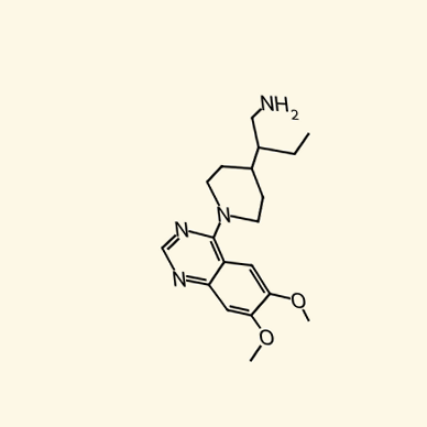 CCC(CN)C1CCN(c2ncnc3cc(OC)c(OC)cc23)CC1